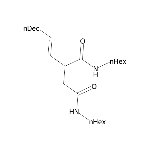 CCCCCCCCCCC=CC(CC(=O)NCCCCCC)C(=O)NCCCCCC